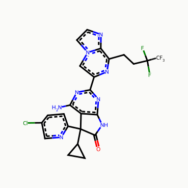 Nc1nc(-c2cn3ccnc3c(CCC(F)(F)C(F)(F)F)n2)nc2c1C(c1ccc(Cl)cn1)(C1CC1)C(=O)N2